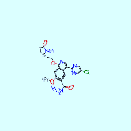 CC(C)Oc1cc2c(OCC[C@@H]3CCC(=O)N3)ncc(-c3ncc(Cl)cn3)c2cc1C(N)=O